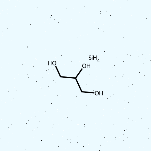 OCC(O)CO.[SiH4]